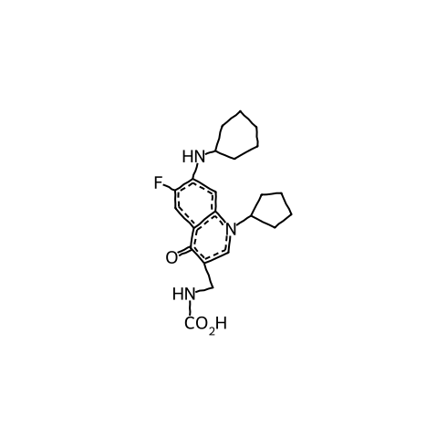 O=C(O)NCc1cn(C2CCCC2)c2cc(NC3CCCCC3)c(F)cc2c1=O